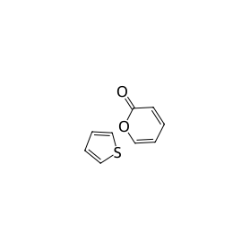 O=c1cccco1.c1ccsc1